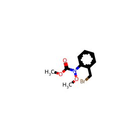 COC(=O)N(OC)c1ccccc1CBr